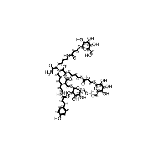 NC(=O)[C@H](CCCCNC(=O)CCS[C@H]1O[C@H](CO)[C@@H](O)[C@H](O)[C@@H]1O)N(CCCCCCNC(=O)CCc1ccc(O)cc1)C(=O)[C@H](CCCCNC(=O)CCS[C@H]1O[C@H](CO)[C@@H](O)[C@H](O)[C@@H]1O)NC(=O)CCS[C@H]1O[C@H](CO)[C@@H](O)[C@H](O)[C@@H]1O